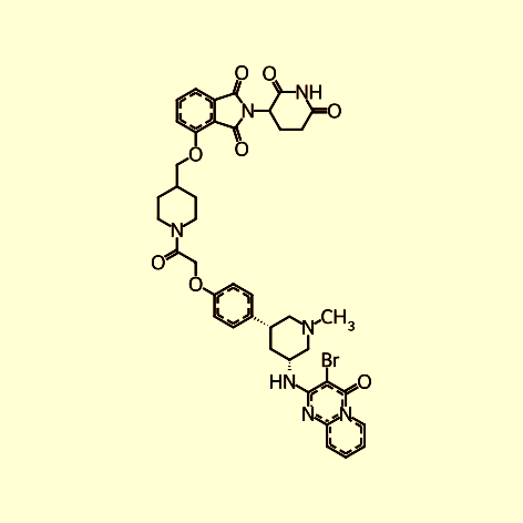 CN1C[C@H](Nc2nc3ccccn3c(=O)c2Br)C[C@H](c2ccc(OCC(=O)N3CCC(COc4cccc5c4C(=O)N(C4CCC(=O)NC4=O)C5=O)CC3)cc2)C1